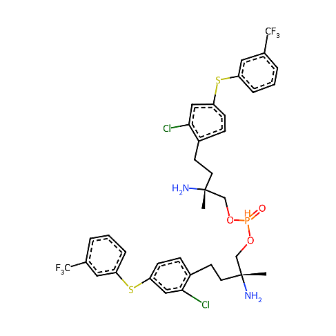 C[C@@](N)(CCc1ccc(Sc2cccc(C(F)(F)F)c2)cc1Cl)CO[PH](=O)OC[C@](C)(N)CCc1ccc(Sc2cccc(C(F)(F)F)c2)cc1Cl